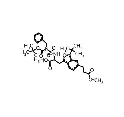 COC(=O)CCc1ccc2c(CC(NS(=O)(=O)N(Cc3ccccc3)C(=O)OC(C)(C)C)C(=O)O)oc(C(C)(C)C)c2c1